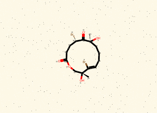 C[C@]1(O)CCC/C=C(\Br)[C@](C)(O)COC(=O)CC[C@H](Br)C1=O